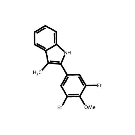 CCc1cc(-c2[nH]c3ccccc3c2C)cc(CC)c1OC